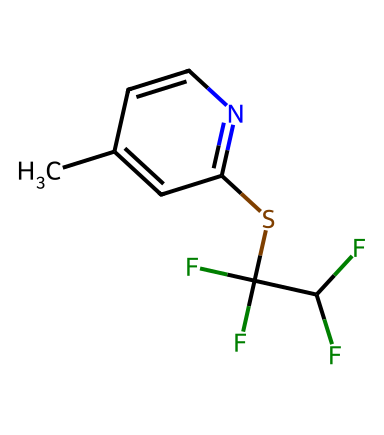 Cc1ccnc(SC(F)(F)C(F)F)c1